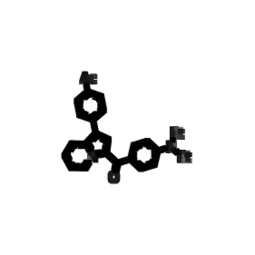 CCN(CC)c1ccc(C(=O)c2cc(-c3ccc(C(C)=O)cc3)c3ccccn23)cc1